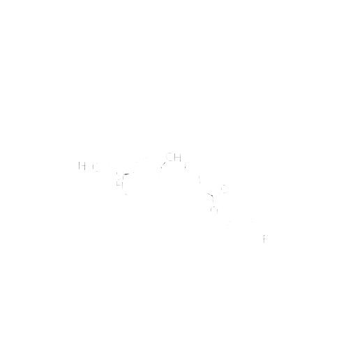 CC[SiH2][C@H]1CC[C@](C)([C@H]2CC[C@H](C(=O)Oc3ccc(F)cc3)CC2)CC1